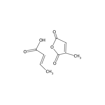 CC1=CC(=O)OC1=O.CC=CC(=O)O